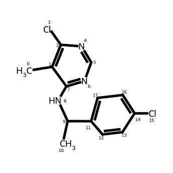 Cc1c(Cl)ncnc1NC(C)c1ccc(Cl)cc1